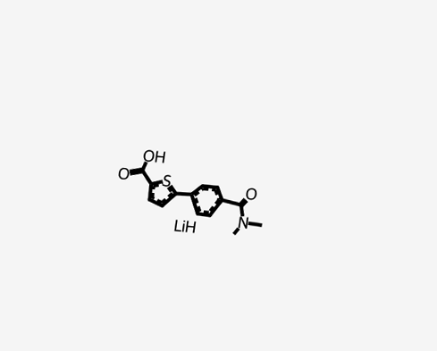 CN(C)C(=O)c1ccc(-c2ccc(C(=O)O)s2)cc1.[LiH]